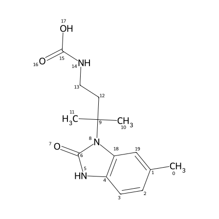 Cc1ccc2[nH]c(=O)n(C(C)(C)CCNC(=O)O)c2c1